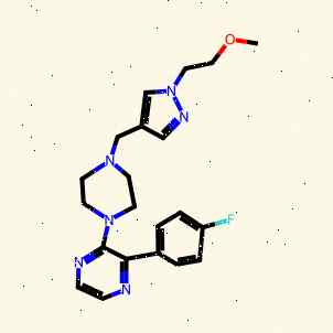 COCCn1cc(CN2CCN(c3nccnc3-c3ccc(F)cc3)CC2)cn1